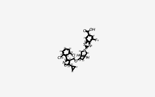 O=C(O)c1cc(F)c2nc(N3C[C@H]4CC(OCc5c(-c6c(Cl)cccc6Cl)noc5C5CC5)[C@H]4C3)sc2c1